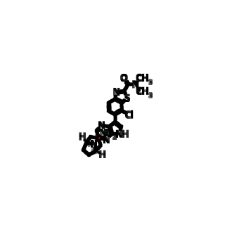 CN(C)C(=O)c1nc2ccc(-c3c[nH]c4nc(N5[C@@H]6CC[C@H]5C[C@@H](N)C6)cnc34)c(Cl)c2s1